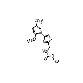 COc1ccc(C(=O)O)cc1-c1csc(CNC(=O)OC(C)(C)C)n1